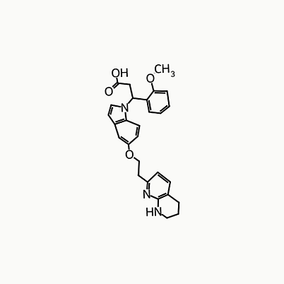 COc1ccccc1C(CC(=O)O)n1ccc2cc(OCCc3ccc4c(n3)NCCC4)ccc21